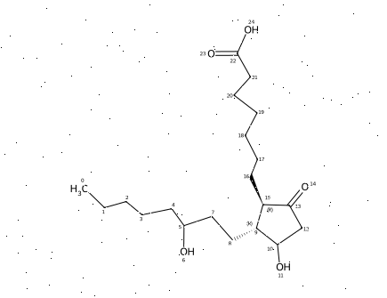 CCCCCC(O)CC[C@H]1C(O)CC(=O)[C@@H]1CCCCCCC(=O)O